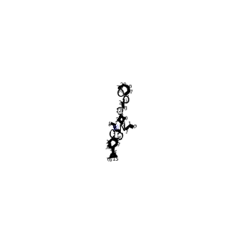 C=CCN(C(=O)/C(=C/C)Oc1ccc(C2CC2)cc1)[C@H]1C[C@@H](OCCOC2CCCCO2)C1